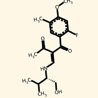 COc1cc(F)c(C(=O)C(=CN[C@H](CO)C(C)C)C(C)=O)cc1C